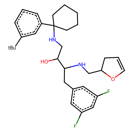 CC(C)(C)c1cccc(C2(NCC(O)C(Cc3cc(F)cc(F)c3)NCC3CC=CO3)CCCCC2)c1